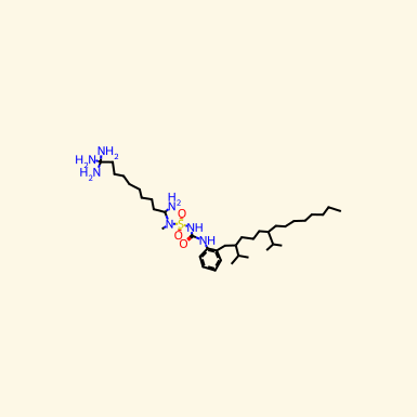 CCCCCCCCC(CCCC(Cc1ccccc1NC(=O)NS(=O)(=O)N(C)C(N)CCCCCCCCC(N)(N)N)C(C)C)C(C)C